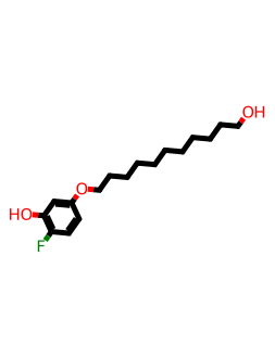 OCCCCCCCCCCCOc1ccc(F)c(O)c1